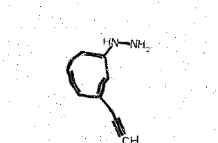 C#Cc1cccc(NN)c1